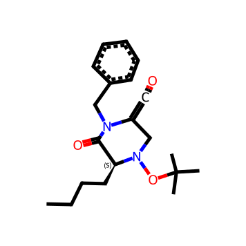 CCCC[C@H]1C(=O)N(Cc2ccccc2)C(=C=O)CN1OC(C)(C)C